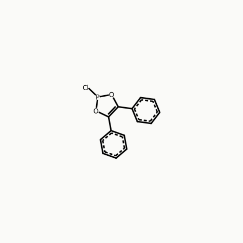 ClP1OC(c2ccccc2)=C(c2ccccc2)O1